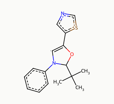 CC(C)(C)C1OC(c2cncs2)=[C]N1c1ccccc1